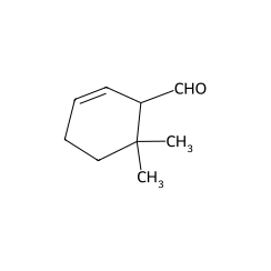 CC1(C)CCC=CC1C=O